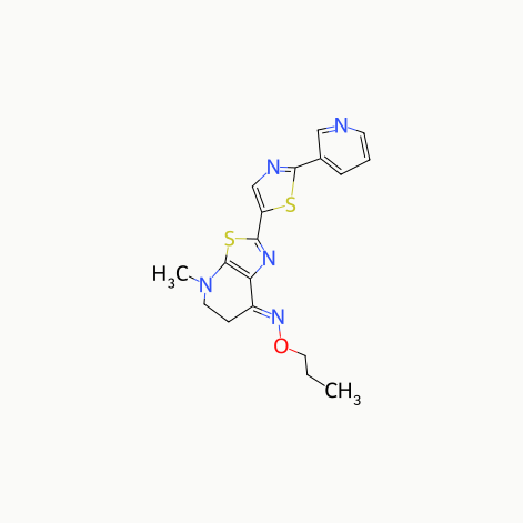 CCCO/N=C1\CCN(C)c2sc(-c3cnc(-c4cccnc4)s3)nc21